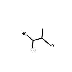 CCCC(C)C(O)C#N